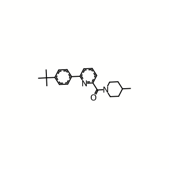 CC1CCN(C(=O)c2cccc(-c3ccc(C(C)(C)C)cc3)n2)CC1